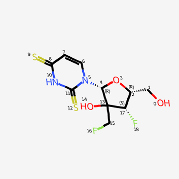 OC[C@H]1O[C@@H](n2ccc(=S)[nH]c2=S)C(O)(CF)[C@H]1F